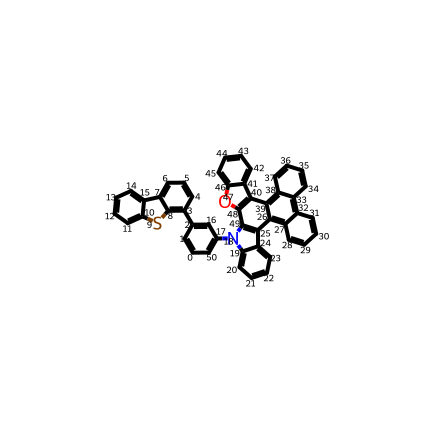 c1cc(-c2cccc3c2sc2ccccc23)cc(-n2c3ccccc3c3c4c5ccccc5c5ccccc5c4c4c5ccccc5oc4c32)c1